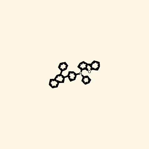 c1ccc(-c2cc3ccccc3cc2-c2ccc(N(c3ccccc3)c3cccc4c3oc3ccccc34)cc2)cc1